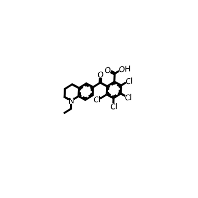 CCN1CCCc2cc(C(=O)c3c(Cl)c(Cl)c(Cl)c(Cl)c3C(=O)O)ccc21